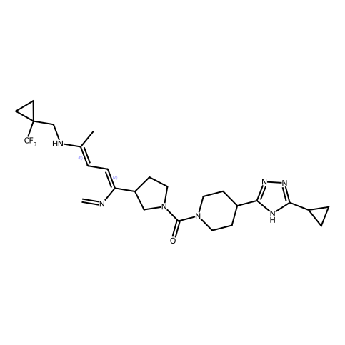 C=N/C(=C\C=C(/C)NCC1(C(F)(F)F)CC1)C1CCN(C(=O)N2CCC(c3nnc(C4CC4)[nH]3)CC2)C1